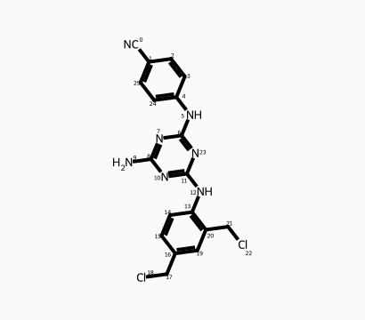 N#Cc1ccc(Nc2nc(N)nc(Nc3ccc(CCl)cc3CCl)n2)cc1